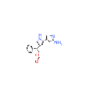 Nc1cc(-c2cc(C(COC=O)c3ccccc3)c[nH]2)ccn1